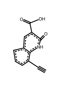 C#Cc1cccc2cc(C(=O)O)c(=O)[nH]c12